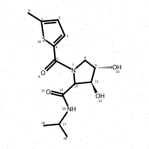 Cc1ccc(C(=O)N2C[C@H](O)[C@@H](O)C2C(=O)NC(C)C)s1